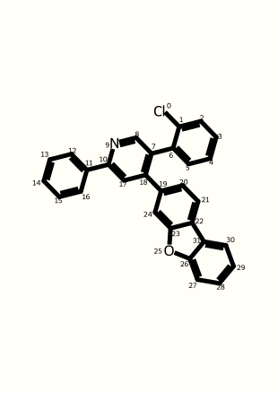 Clc1ccccc1-c1cnc(-c2ccccc2)cc1-c1ccc2c(c1)oc1ccccc12